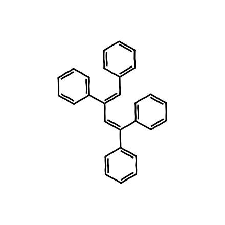 C(=C(C=C(c1ccccc1)c1ccccc1)c1ccccc1)c1ccccc1